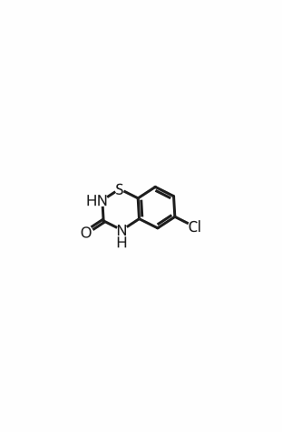 O=C1NSc2ccc(Cl)cc2N1